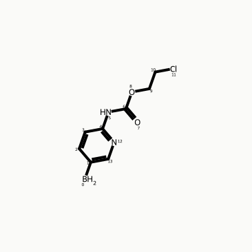 Bc1ccc(NC(=O)OCCCl)nc1